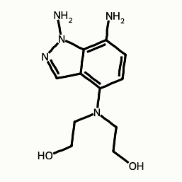 Nc1ccc(N(CCO)CCO)c2cnn(N)c12